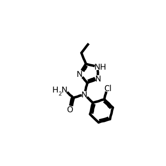 CCc1nc(N(C(N)=O)c2ccccc2Cl)n[nH]1